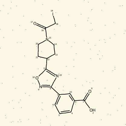 O=C(O)c1cccc(-c2noc(C3CCN(C(=O)CI)CC3)n2)c1